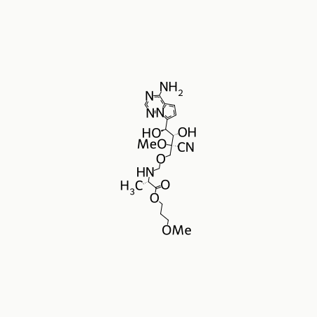 COCCCOC(=O)[C@H](C)NCOC[C@@](C#N)(OC)[C@@H](O)[C@@H](O)c1ccc2c(N)ncnn12